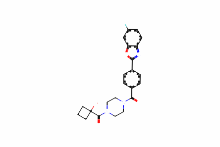 O=C(c1ccc(-c2nc3ccc(F)cc3o2)cc1)N1CCN(C(=O)C2(O)CCC2)CC1